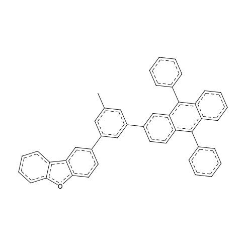 Cc1cc(-c2ccc3c(-c4ccccc4)c4ccccc4c(-c4ccccc4)c3c2)cc(-c2ccc3oc4ccccc4c3c2)c1